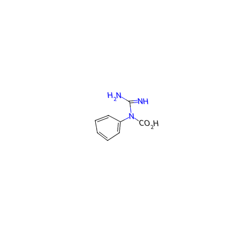 N=C(N)N(C(=O)O)c1ccccc1